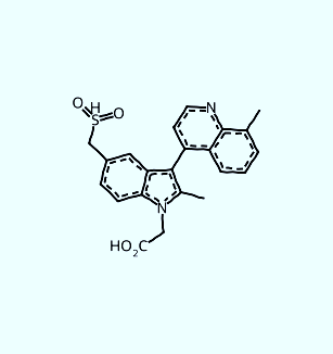 Cc1cccc2c(-c3c(C)n(CC(=O)O)c4ccc(C[SH](=O)=O)cc34)ccnc12